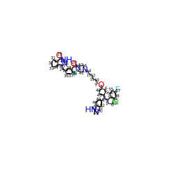 CC/C(=C(/c1ccc(OCCCCCCN2CCN(C(=O)c3cc(Cc4n[nH]c(=O)c5ccccc45)ccc3F)CC2)cc1)c1ccc2[nH]ncc2c1)c1ccc(F)cc1Cl